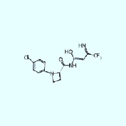 N=C(/C=C(\O)NC(=O)[C@@H]1CCN1c1ccc(Cl)cc1)C(F)(F)F